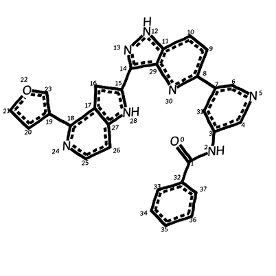 O=C(Nc1cncc(-c2ccc3[nH]nc(-c4cc5c(-c6ccoc6)nccc5[nH]4)c3n2)c1)c1ccccc1